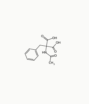 CC(=O)NC(Cc1ccccc1)(C(=O)O)C(=O)O